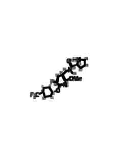 COc1nc(O[C@H]2CC[C@H](C(F)(F)F)CC2)c(F)cc1CN(C)C(=O)[C@@H]1CCCN1